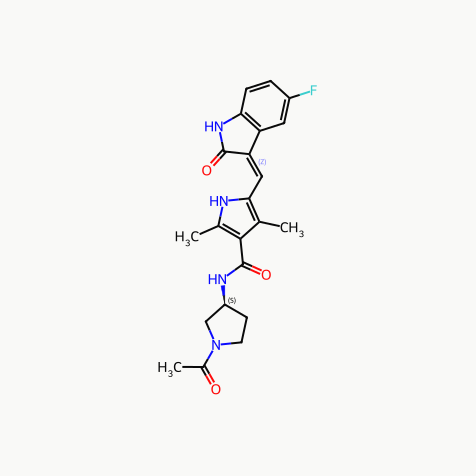 CC(=O)N1CC[C@H](NC(=O)c2c(C)[nH]c(/C=C3\C(=O)Nc4ccc(F)cc43)c2C)C1